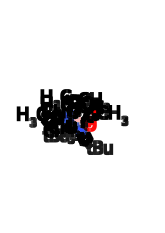 CC(C)(C)c1ccc(N2c3cc(C(C)(C)C)cc4c3B(c3cc5c(cc3N4c3ccc4c(c3)C(C)(C)CCC4(C)C)C(C)(C)CCC5(C)C)c3c2oc2cc4c(cc32)C2(C)CCC4(C)C2)cc1